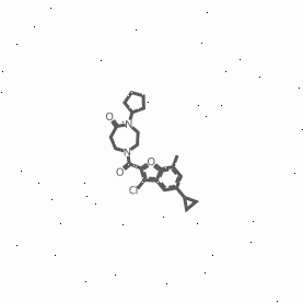 Cc1cc(C2CC2)cc2c(Cl)c(C(=O)N3CCC(=O)N(C4CCCC4)CC3)oc12